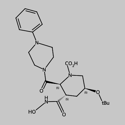 CC(C)(C)O[C@H]1C[C@H](C(=O)NO)[C@@H](C(=O)N2CCN(c3ccccc3)CC2)N(C(=O)O)C1